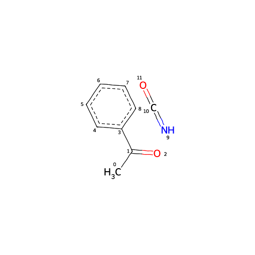 CC(=O)c1ccccc1.N=C=O